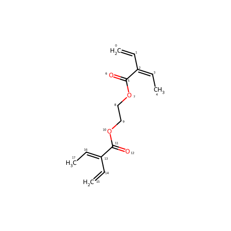 C=CC(=CC)C(=O)OCCOC(=O)C(C=C)=CC